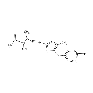 Cc1cc(C#CC(C)N(O)C(N)=O)sc1Cc1ccc(F)cc1